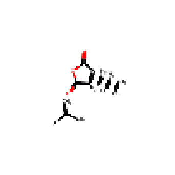 C=C.C=C.C=C.C=C(C)C.O=C1C=CC(=O)O1